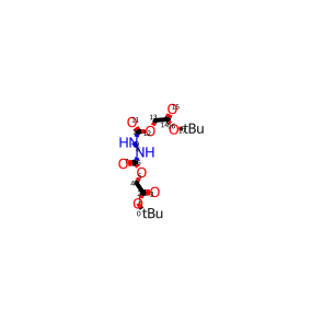 CC(C)(C)OC(=O)COC(=O)NNC(=O)OCC(=O)OC(C)(C)C